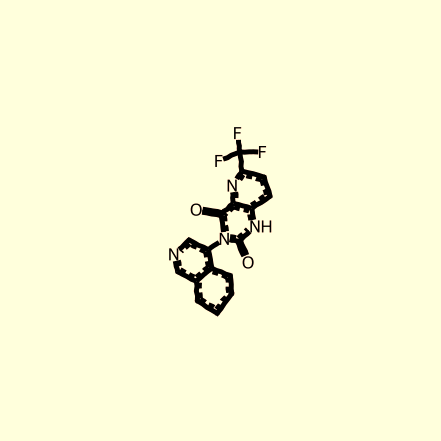 O=c1[nH]c2ccc(C(F)(F)F)nc2c(=O)n1-c1cncc2ccccc12